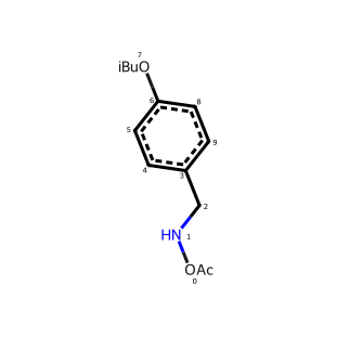 CC(=O)ONCc1ccc(OCC(C)C)cc1